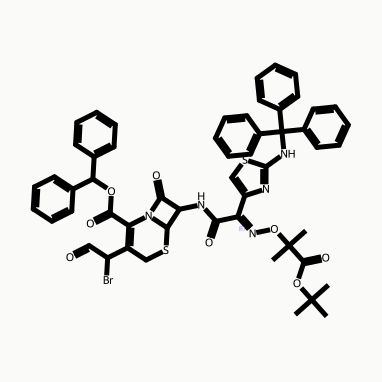 CC(C)(C)OC(=O)C(C)(C)O/N=C(/C(=O)NC1C(=O)N2C(C(=O)OC(c3ccccc3)c3ccccc3)=C(C(Br)C=O)CSC12)c1csc(NC(c2ccccc2)(c2ccccc2)c2ccccc2)n1